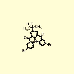 CC(C)(C)c1cc2c(=O)c3cc(Br)ccc3n3c4ccc(Br)cc4c(=O)c(c1)c23